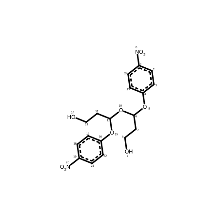 O=[N+]([O-])c1ccc(OC(CCO)OC(CCO)Oc2ccc([N+](=O)[O-])cc2)cc1